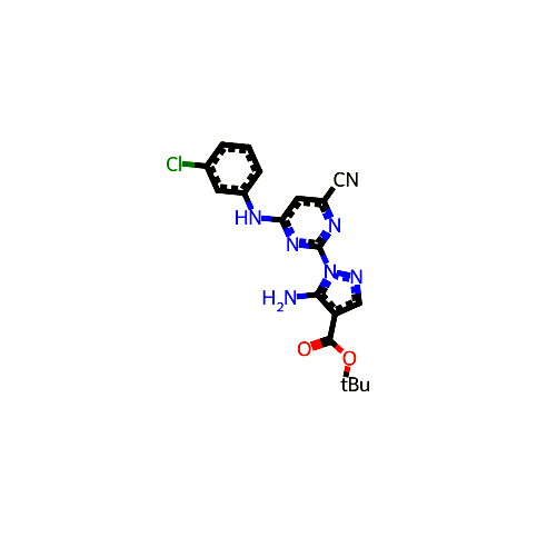 CC(C)(C)OC(=O)c1cnn(-c2nc(C#N)cc(Nc3cccc(Cl)c3)n2)c1N